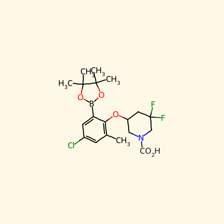 Cc1cc(Cl)cc(B2OC(C)(C)C(C)(C)O2)c1OC1CN(C(=O)O)CC(F)(F)C1